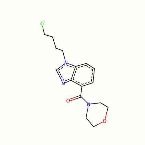 O=C(c1cccc2c1ncn2CCCCCl)N1CCOCC1